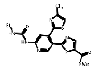 CCNC(=O)Nc1cc(-c2nc(C(F)(F)F)cs2)c(-c2ncc(C(=O)NC)s2)cn1